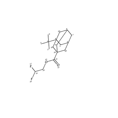 CC(C)(C)C12CC3CC(CC(C(=O)OCC(F)F)(C3)C1)C2